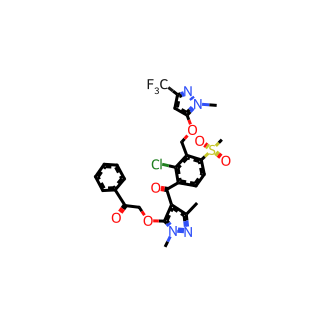 Cc1nn(C)c(OCC(=O)c2ccccc2)c1C(=O)c1ccc(S(C)(=O)=O)c(COc2cc(C(F)(F)F)nn2C)c1Cl